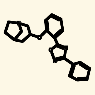 c1ccc(-c2noc(-c3ccccc3OC3CC4CCN(C4)C3)n2)cc1